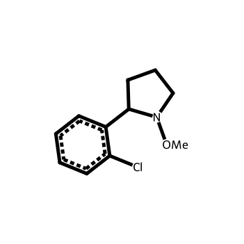 CON1CCCC1c1ccccc1Cl